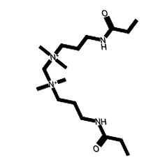 CCC(=O)NCCC[N+](C)(C)C[N+](C)(C)CCCNC(=O)CC